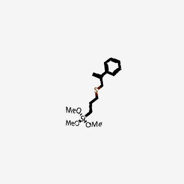 C=C(CSCCC[Si](OC)(OC)OC)c1ccccc1